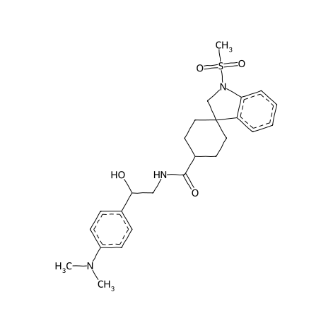 CN(C)c1ccc(C(O)CNC(=O)C2CCC3(CC2)CN(S(C)(=O)=O)c2ccccc23)cc1